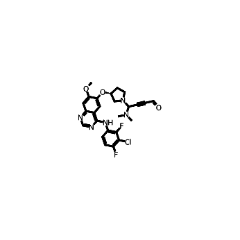 COc1cc2ncnc(Nc3ccc(F)c(Cl)c3F)c2cc1O[C@H]1CCN(C(C#CC=O)N(C)C)C1